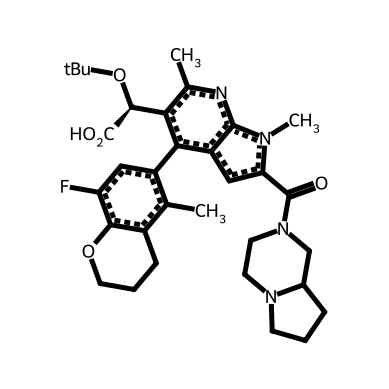 Cc1nc2c(cc(C(=O)N3CCN4CCCC4C3)n2C)c(-c2cc(F)c3c(c2C)CCCO3)c1[C@H](OC(C)(C)C)C(=O)O